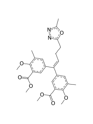 COC(=O)c1cc(C(=CCCc2nnc(C)o2)c2cc(C)c(OC)c(C(=O)OC)c2)cc(C)c1OC